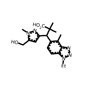 CCn1nnc2c(C)c(C(c3cc(CO)n(C)n3)C(C)(C)C(=O)O)ccc21